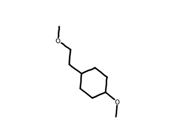 COCCC1CCC(OC)CC1